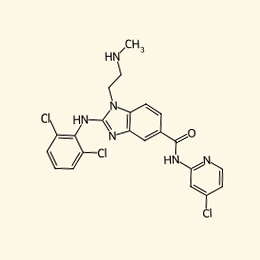 CNCCn1c(Nc2c(Cl)cccc2Cl)nc2cc(C(=O)Nc3cc(Cl)ccn3)ccc21